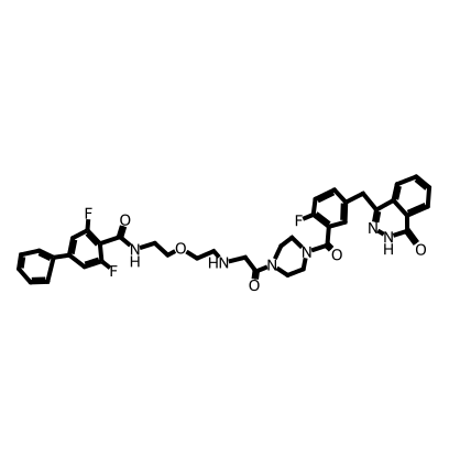 O=C(NCCOCCNCC(=O)N1CCN(C(=O)c2cc(Cc3n[nH]c(=O)c4ccccc34)ccc2F)CC1)c1c(F)cc(-c2ccccc2)cc1F